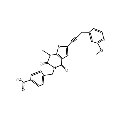 COc1cc(CC#Cc2cc3c(=O)n(Cc4ccc(C(=O)O)cc4)c(=O)n(C)c3s2)ccn1